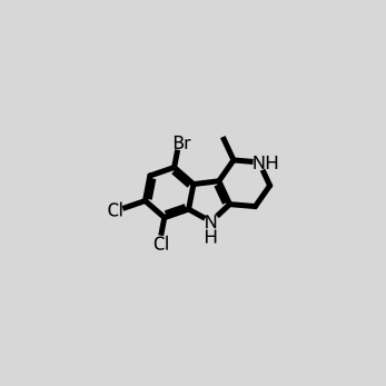 CC1NCCc2[nH]c3c(Cl)c(Cl)cc(Br)c3c21